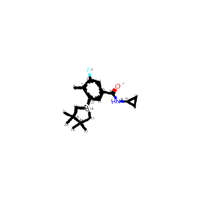 Cc1c(F)cc(C(=O)NC2CC2)cc1B1CC(C)(C)C(C)(C)C1